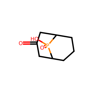 O=C1CC2CCCC(C1)P2(=O)O